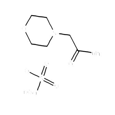 CCCC(=O)C[S+]1CCOCC1.CCCCCCCCS(=O)(=O)[O-]